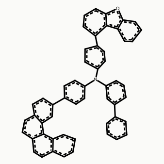 c1ccc(-c2cccc(N(c3ccc(-c4ccc5ccc6ccc7ccccc7c6c5c4)cc3)c3ccc(-c4cccc5oc6ccccc6c45)cc3)c2)cc1